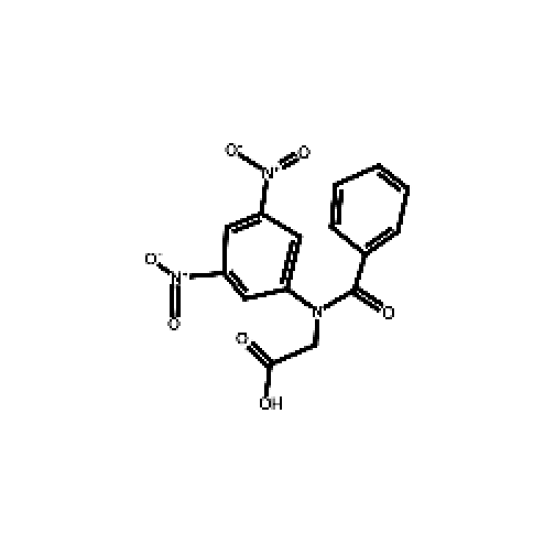 O=C(O)CN(C(=O)c1ccccc1)c1cc([N+](=O)[O-])cc([N+](=O)[O-])c1